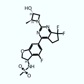 C[C@H]1[C@H](O)CN1c1nc(-c2cc(F)c3c(c2)OC[C@@H]3NS(C)(=O)=O)c2c(n1)C(F)(F)CC2